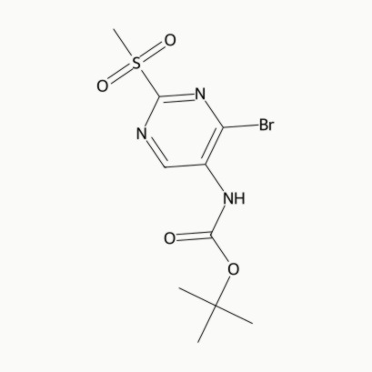 CC(C)(C)OC(=O)Nc1cnc(S(C)(=O)=O)nc1Br